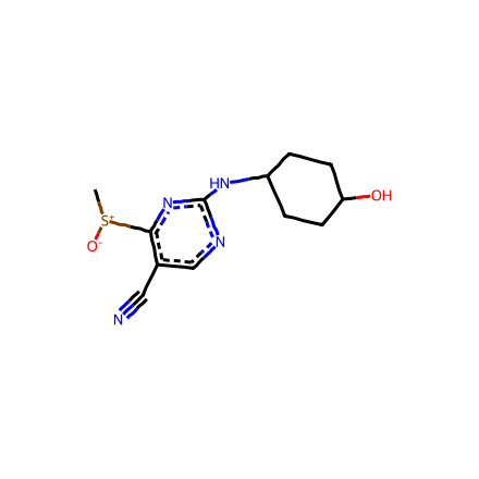 C[S+]([O-])c1nc(NC2CCC(O)CC2)ncc1C#N